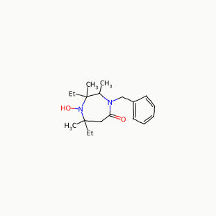 CCC1(C)CC(=O)N(Cc2ccccc2)C(C)C(C)(CC)N1O